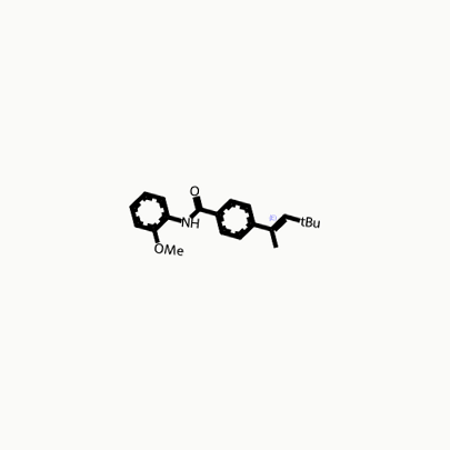 COc1ccccc1NC(=O)c1ccc(/C(C)=C/C(C)(C)C)cc1